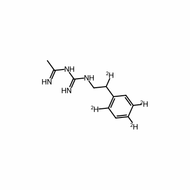 [2H]c1cc([2H])c(C([2H])CNC(=N)NC(C)=N)cc1[2H]